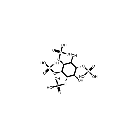 O=P(O)(O)O[C@@H]1[C@@H](O)[C@H](OP(=O)(O)O)[C@@H](OP(=O)(O)O)[C@@H](OP(=O)(O)O)[C@H]1O